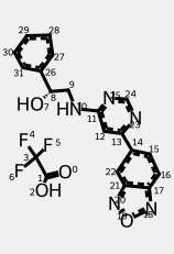 O=C(O)C(F)(F)F.O[C@@H](CNc1cc(-c2ccc3nonc3c2)ncn1)c1ccccc1